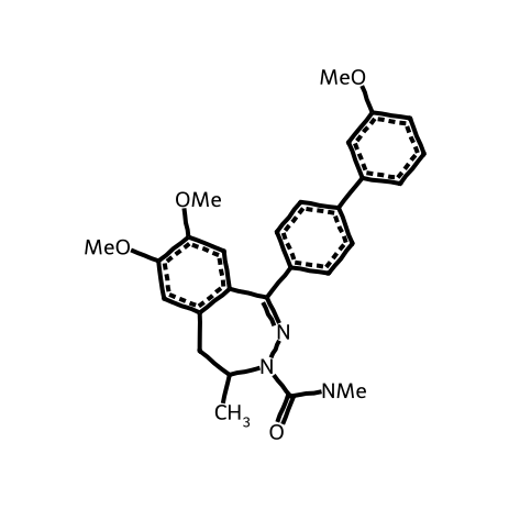 CNC(=O)N1N=C(c2ccc(-c3cccc(OC)c3)cc2)c2cc(OC)c(OC)cc2CC1C